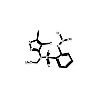 COCN(c1noc(C)c1Cl)S(=O)(=O)c1ccccc1OB(O)O